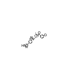 COc1cccc(C(=O)N2C[C@@H](Cn3ncc4cc(-c5cn[nH]c5)ccc43)C[C@H]2C)c1